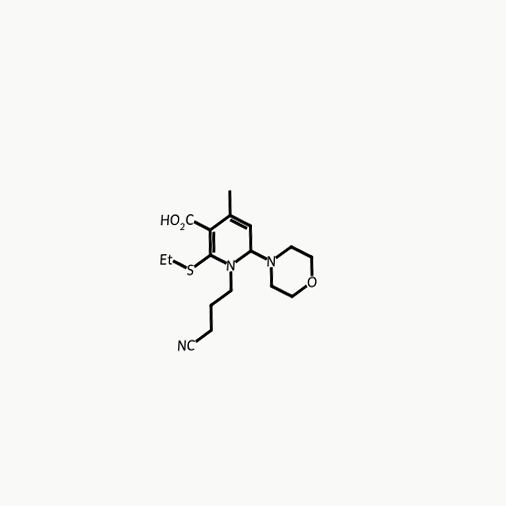 CCSC1=C(C(=O)O)C(C)=CC(N2CCOCC2)N1CCCC#N